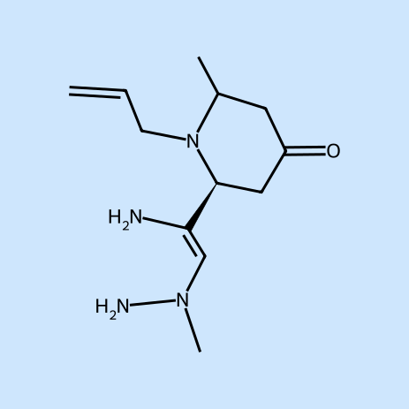 C=CCN1C(C)CC(=O)C[C@H]1/C(N)=C/N(C)N